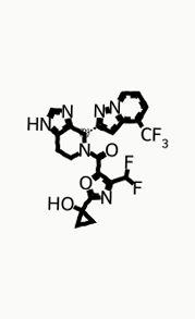 O=C(c1oc(C2(O)CC2)nc1C(F)F)N1CCc2[nH]cnc2[C@@H]1c1cc2c(C(F)(F)F)cccn2n1